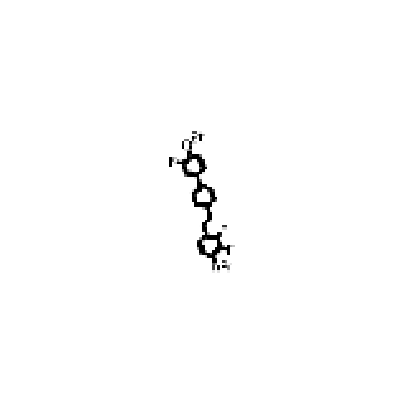 CCCc1ccc(CCc2ccc(-c3ccc(OCC)c(F)c3)cc2)c(F)c1F